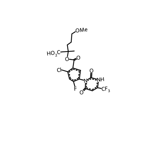 COCCCC(C)(OC(=O)c1cc(-n2c(=O)cc(C(F)(F)F)[nH]c2=O)c(F)cc1Cl)C(=O)O